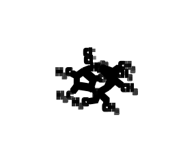 CC[Si]1(CC)C2=C(C)C(C)[C](=C2C)[Hf+2][C]2=C(C)C1=C(C)C2C.[Cl-].[Cl-]